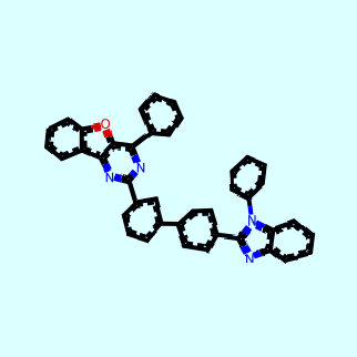 c1ccc(-c2nc(-c3cccc(-c4ccc(-c5nc6ccccc6n5-c5ccccc5)cc4)c3)nc3c2oc2ccccc23)cc1